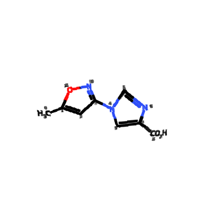 Cc1cc(-n2cnc(C(=O)O)c2)no1